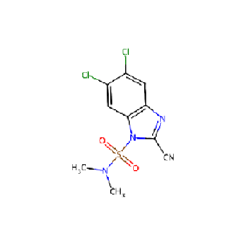 CN(C)S(=O)(=O)n1c(C#N)nc2cc(Cl)c(Cl)cc21